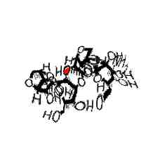 N[C@]1(O)[C@H](O)[C@@H](CO)O[C@@]2(O[C@@H]3[C@H]4OC[C@@H]3O[C@@H](O[C@@H]3[C@@H](O)[C@H](O[C@@H]5[C@H]6OC[C@@H]5O[C@@H](O)[C@H]6O)O[C@H](CO)[C@H]3O)[C@H]4O)O[C@@]21O